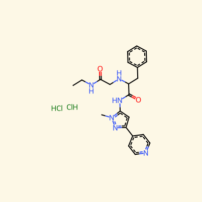 CCNC(=O)CNC(Cc1ccccc1)C(=O)Nc1cc(-c2ccncc2)nn1C.Cl.Cl